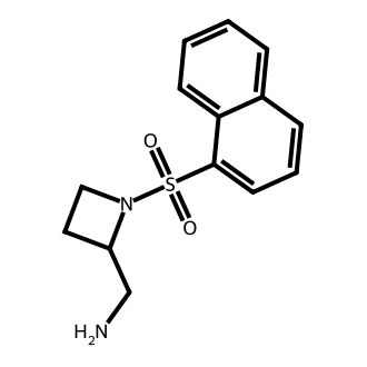 NCC1CCN1S(=O)(=O)c1cccc2ccccc12